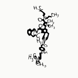 CCCCN(CCCC)C(=O)c1cc(-c2cc3c(cc2C(=O)N2Cc4ccccc4C[C@H]2C)CN(C(=O)Cc2ccc(NCCN(C)C)cc2)CC3)n(C)c1C